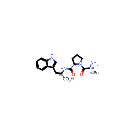 CC[C@H](C)[C@H](N)C(=O)N1CCC[C@H]1C(=O)N[C@@H](Cc1c[nH]c2ccccc12)C(=O)O